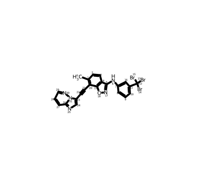 Cc1ccc2c(Nc3cccc(C(Br)(Br)Br)c3)noc2c1C#Cc1cnc2cccnn12